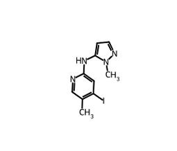 Cc1cnc(Nc2ccnn2C)cc1I